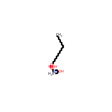 CCCCCCCC/C=C\CCCCCCCCCCCCOP(=O)(O)OCC[N+]1(C)CCC(O)CC1